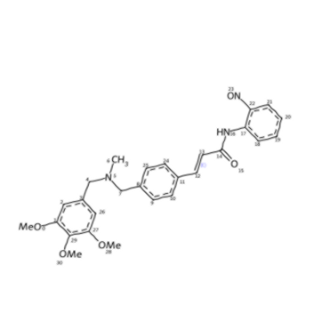 COc1cc(CN(C)Cc2ccc(/C=C/C(=O)Nc3ccccc3N=O)cc2)cc(OC)c1OC